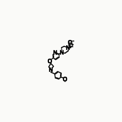 COc1ccc(CN2CC(Oc3ccc(N4CCN([S+](C)[O-])CC4)nc3)C2)cc1